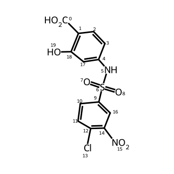 O=C(O)c1ccc(NS(=O)(=O)c2ccc(Cl)c([N+](=O)[O-])c2)cc1O